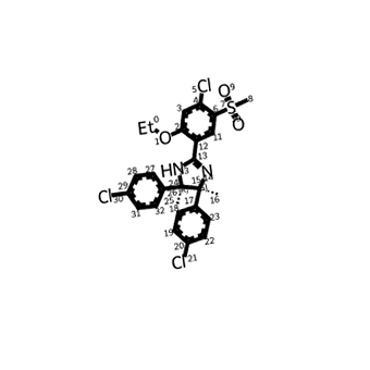 CCOc1cc(Cl)c(S(C)(=O)=O)cc1C1=N[C@@](C)(c2ccc(Cl)cc2)[C@@](C)(c2ccc(Cl)cc2)N1